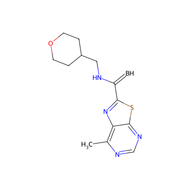 B=C(NCC1CCOCC1)c1nc2c(C)ncnc2s1